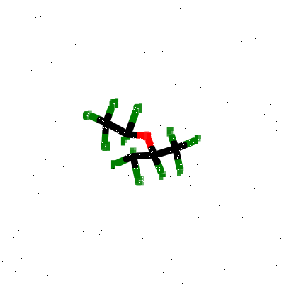 FC(F)(F)C(F)(OC(F)(Cl)C(Cl)(Cl)Cl)C(F)(F)Cl